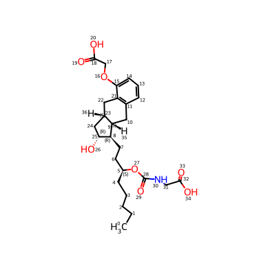 CCCCC[C@@H](CC[C@@H]1[C@H]2Cc3cccc(OCC(=O)O)c3C[C@H]2C[C@H]1O)OC(=O)NCC(=O)O